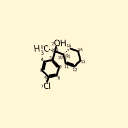 C[C@@](O)(c1ccc(Cl)cc1)[C@H]1C=CCCC1